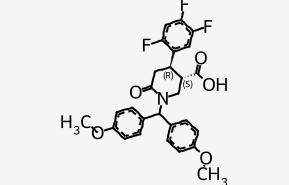 COc1ccc(C(c2ccc(OC)cc2)N2C[C@@H](C(=O)O)[C@H](c3cc(F)c(F)cc3F)CC2=O)cc1